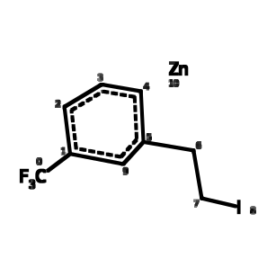 FC(F)(F)c1cccc(CCI)c1.[Zn]